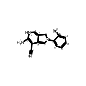 N#CC1=C(N)NC=C2CN(c3ccccc3Br)C=C21